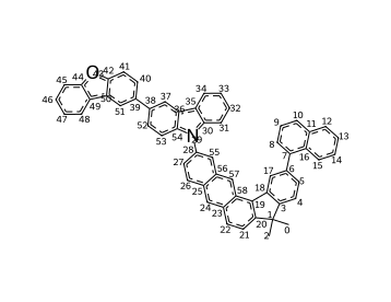 CC1(C)c2ccc(-c3cccc4ccccc34)cc2-c2c1ccc1cc3ccc(-n4c5ccccc5c5cc(-c6ccc7oc8ccccc8c7c6)ccc54)cc3cc21